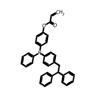 C=CC(=O)Oc1ccc(N(c2ccccc2)c2ccc(CC(c3ccccc3)c3ccccc3)cc2)cc1